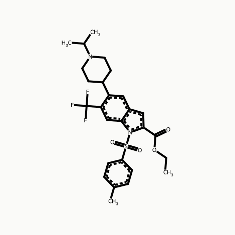 CCOC(=O)c1cc2cc(C3CCN(C(C)C)CC3)c(C(F)(F)F)cc2n1S(=O)(=O)c1ccc(C)cc1